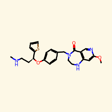 CNCC[C@H](Oc1ccc(CN2CCNc3cc(OC)ncc3C2=O)cc1)c1cccs1